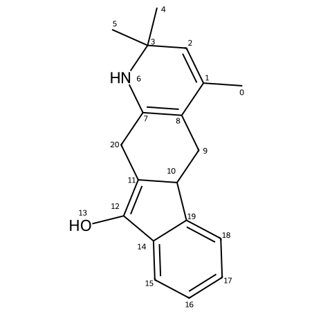 CC1=CC(C)(C)NC2=C1CC1C(=C(O)c3ccccc31)C2